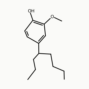 CCCCC(CCC)c1ccc(O)c(OC)c1